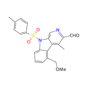 COCc1cccc2c1c1c(C)c(C=O)ncc1n2S(=O)(=O)c1ccc(C)cc1